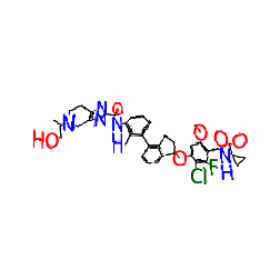 COC(=O)C1(NCc2c(OC)cc(OC3CCc4c(-c5cccc(NC(=O)c6nc7c(n6C)CCN(C(C)CO)C7)c5C)cccc43)c(Cl)c2F)CC1